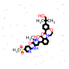 Cn1nc(-c2cccc(N3CCOc4cc(C(C)(C)CO)ccc4C3=O)c2CO)cc(Nc2ccc(S(C)(=O)=O)cn2)c1=O